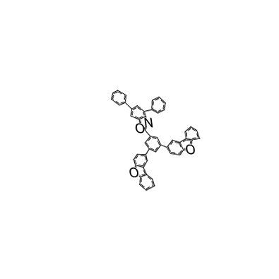 c1ccc(-c2cc(-c3ccccc3)c3nc(-c4cc(-c5ccc6oc7ccccc7c6c5)cc(-c5ccc6oc7ccccc7c6c5)c4)oc3c2)cc1